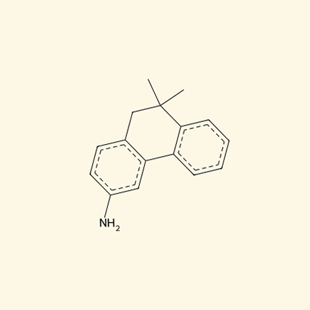 CC1(C)Cc2ccc(N)cc2-c2ccccc21